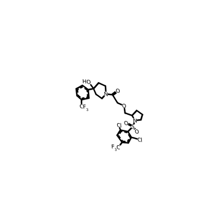 O=C(COCC1CCCN1S(=O)(=O)c1c(Cl)cc(C(F)(F)F)cc1Cl)N1CCC(O)(c2cccc(C(F)(F)F)c2)CC1